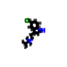 CC(C)[N+](C)(C)CCc1c[nH]c2ccc(Cl)cc12